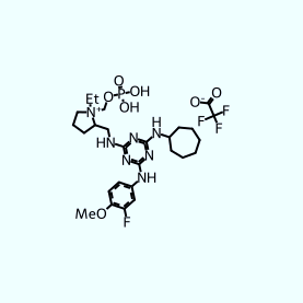 CC[N+]1(COP(=O)(O)O)CCCC1CNc1nc(Nc2ccc(OC)c(F)c2)nc(NC2CCCCCC2)n1.O=C([O-])C(F)(F)F